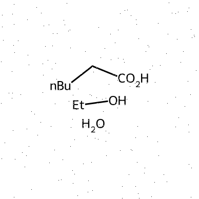 CCCCCC(=O)O.CCO.O